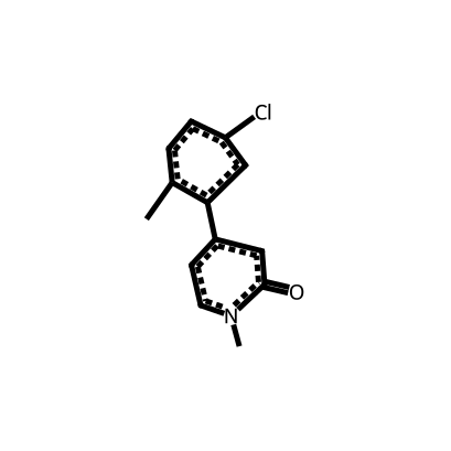 Cc1ccc(Cl)cc1-c1ccn(C)c(=O)c1